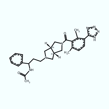 CC(=O)NC(CCN1C[C@@H]2CN(C(=O)c3c(C)ccc(-c4nnn[nH]4)c3C)C[C@@H]2C1)c1ccccc1